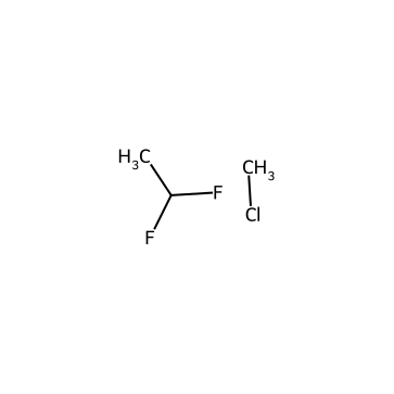 CC(F)F.CCl